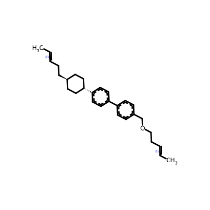 C/C=C/CCOCc1ccc(-c2ccc([C@H]3CC[C@H](CC/C=C/C)CC3)cc2)cc1